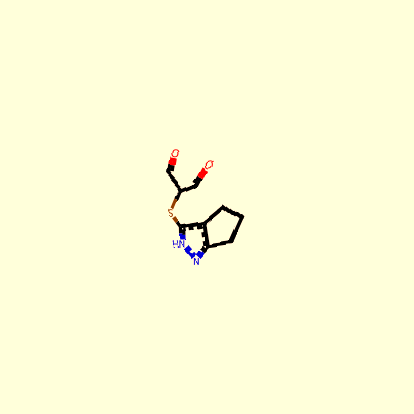 O=CC(C=O)Sc1[nH]nc2c1CCC2